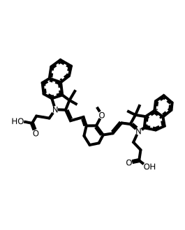 COC1=C(/C=C/C2=[N+](CCC(=O)O)c3ccc4ccccc4c3C2(C)C)CCC/C1=C\C=C1\N(CCC(=O)O)c2ccc3ccccc3c2C1(C)C